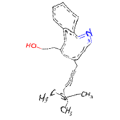 C[Si](C)(C)C#Cc1cnc2ccccc2c1CO